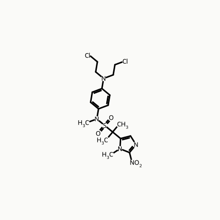 CN(c1ccc(N(CCCl)CCCl)cc1)S(=O)(=O)C(C)(C)c1cnc([N+](=O)[O-])n1C